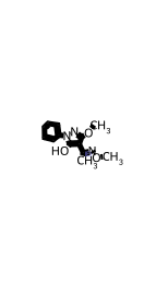 CO/N=C(\C)c1c(OC)nn(-c2ccccc2)c1O